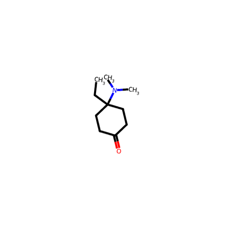 CCC1(N(C)C)CCC(=O)CC1